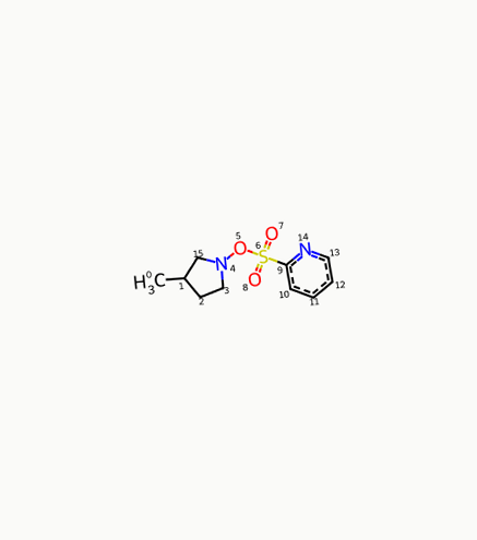 CC1CCN(OS(=O)(=O)c2ccccn2)C1